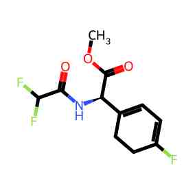 COC(=O)[C@H](NC(=O)C(F)F)C1=CC=C(F)CC1